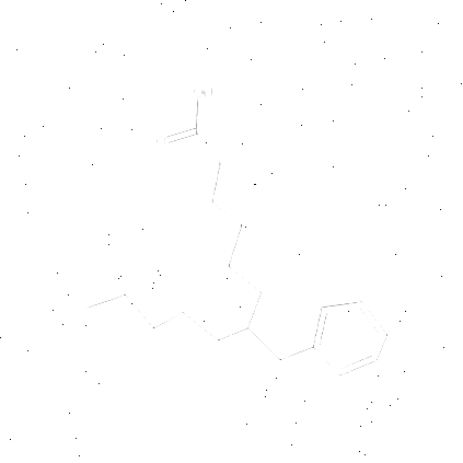 CCCCCC(CCCCCC(=O)O)Cc1ccccc1